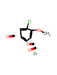 COc1ccccc1Cl.[C]=O.[C]=O.[C]=O.[Cr]